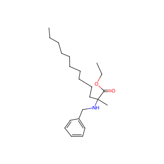 CCCCCCCCCCC(C)(NCc1ccccc1)C(=O)OCC